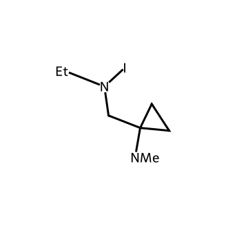 CCN(I)CC1(NC)CC1